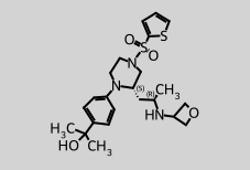 C[C@H](C[C@H]1CN(S(=O)(=O)c2cccs2)CCN1c1ccc(C(C)(C)O)cc1)NC1COC1